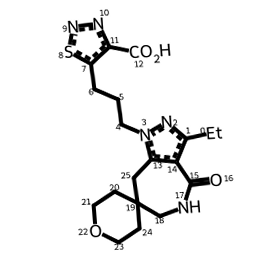 CCc1nn(CCCc2snnc2C(=O)O)c2c1C(=O)NCC1(CCOCC1)C2